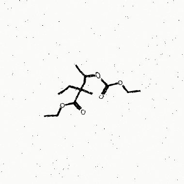 CCOC(=O)OC(C)C(C)(CC)C(=O)OCC